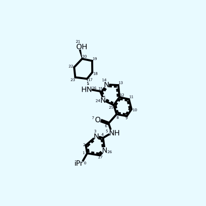 CC(C)c1cnc(NC(=O)c2cccc3cnc(N[C@H]4CC[C@H](O)CC4)nc23)nc1